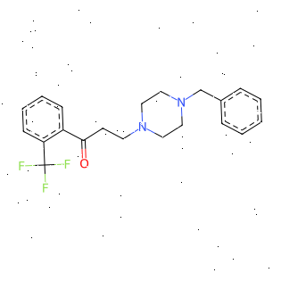 O=C(CCN1CCN(Cc2ccccc2)CC1)c1ccccc1C(F)(F)F